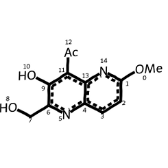 COc1ccc2nc(CO)c(O)c(C(C)=O)c2n1